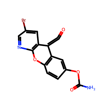 NC(=O)Oc1ccc2c(c1)C(=C=O)c1cc(Br)cnc1O2